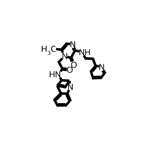 Cc1cnc(NCCc2ccccn2)c(=O)n1CC(=O)NC1c2cc1c1ccccc1n2